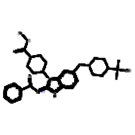 CC(C)NC(=O)C1CCC(n2/c(=N\C(=O)c3ccccc3)[nH]c3ccc(CN4CCC(C(C)(C)O)CC4)cc32)CC1